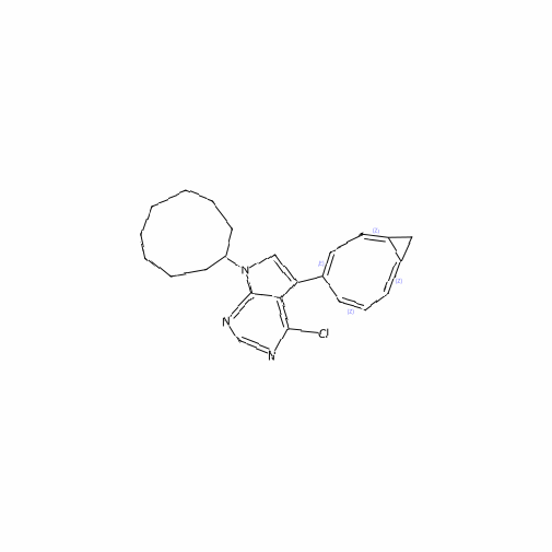 Clc1ncnc2c1c(C1=C/C=C3/C/C3=C/C=C\1)cn2C1CCCCCCCC1